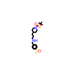 C[S+]([O-])c1ccc(CNCCCC2CCN(C(=O)OC(C)(C)C)CC2)cc1